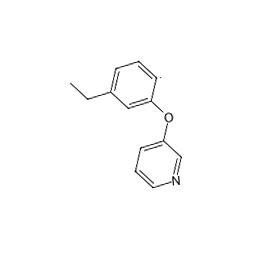 CCc1cc[c]c(Oc2cccnc2)c1